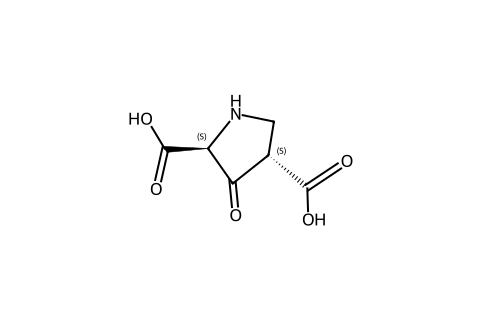 O=C(O)[C@H]1CN[C@H](C(=O)O)C1=O